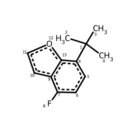 CC(C)(C)c1ccc(F)c2ccoc12